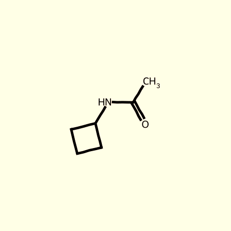 CC(=O)NC1CCC1